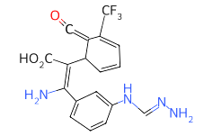 NN=CNc1cccc(C(N)=C(C(=O)O)C2C=CC=C(C(F)(F)F)C2=C=O)c1